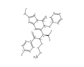 COc1cc2nc([C@@H](C(C)C)N(CCCN)C(=O)c3ccc(C)cc3)n(Cc3ccccc3)c(=O)n2n1